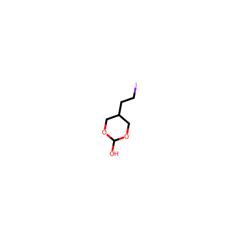 OC1OCC(CCI)CO1